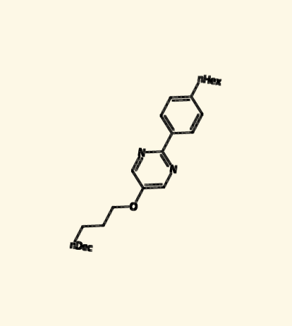 CCCCCCCCCCCCCOc1cnc(-c2ccc(CCCCCC)cc2)nc1